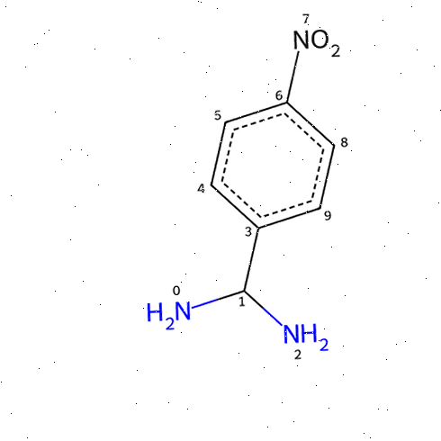 NC(N)c1ccc([N+](=O)[O-])cc1